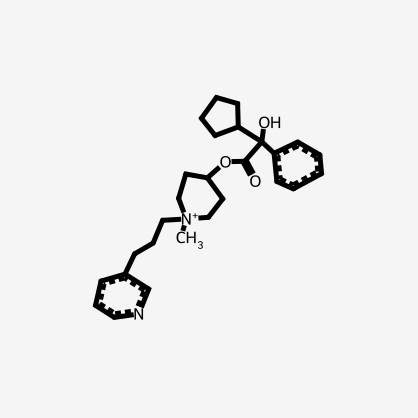 C[N+]1(CCCc2cccnc2)CCC(OC(=O)C(O)(c2ccccc2)C2CCCC2)CC1